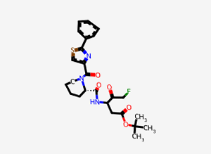 CC(C)(C)OC(=O)CC(NC(=O)[C@@H]1CCCCN1C(=O)c1csc(-c2ccccc2)n1)C(=O)CF